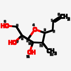 C=CCC1OC(C(O)CO)C(O)C1C